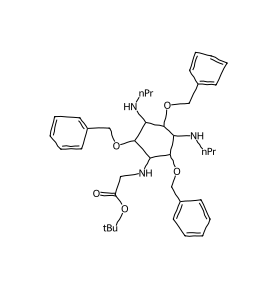 CCCNC1C(OCc2ccccc2)C(NCCC)C(OCc2ccccc2)C(NCC(=O)OC(C)(C)C)C1OCc1ccccc1